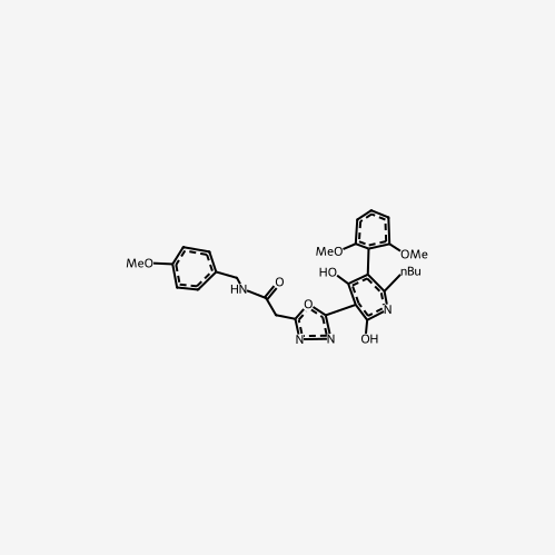 CCCCc1nc(O)c(-c2nnc(CC(=O)NCc3ccc(OC)cc3)o2)c(O)c1-c1c(OC)cccc1OC